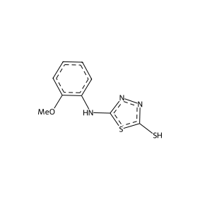 COc1ccccc1Nc1nnc(S)s1